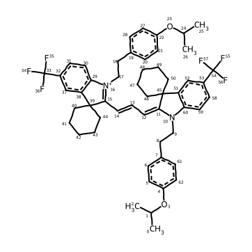 CC(C)Oc1ccc(CCN2/C(=C/C=C/C3=[N+](CCc4ccc(OC(C)C)cc4)c4ccc(C(F)(F)F)cc4C34CCCCC4)C3(CCCCC3)c3cc(C(F)(F)F)ccc32)cc1